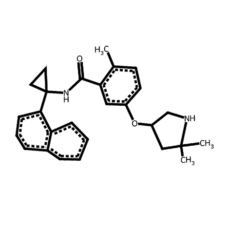 Cc1ccc(OC2CNC(C)(C)C2)cc1C(=O)NC1(c2cccc3ccccc23)CC1